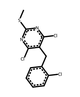 CSc1nc(Cl)c(Cc2ccccc2Cl)c(Cl)n1